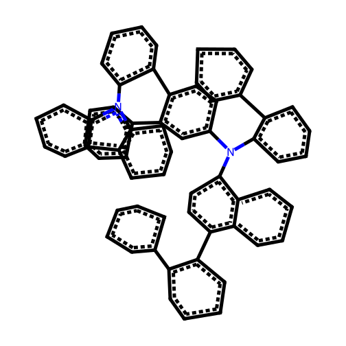 c1ccc(-c2cc(N(c3ccccc3-c3ccccc3)c3ccc(-c4ccccc4-c4ccccc4)c4ccccc34)ccc2-c2ccccc2-n2c3ccccc3c3ccccc32)cc1